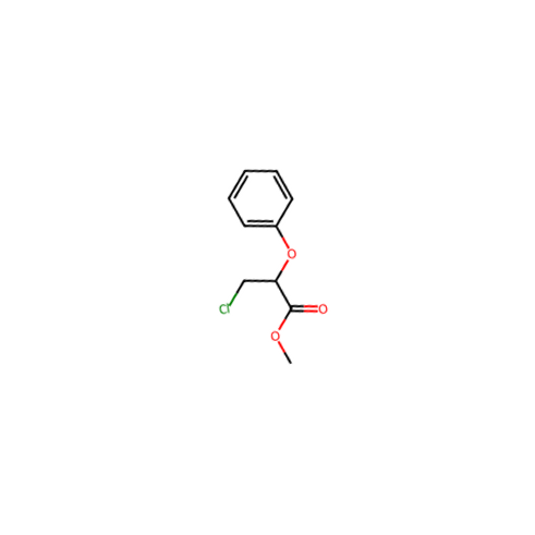 COC(=O)C(CCl)Oc1ccccc1